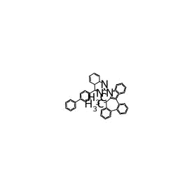 CC1(C)c2ccccc2-c2ccccc2-c2c1n(C1=NC3C=CC=CC3C(c3ccc(-c4ccccc4)cc3)=N1)c1ccccc21